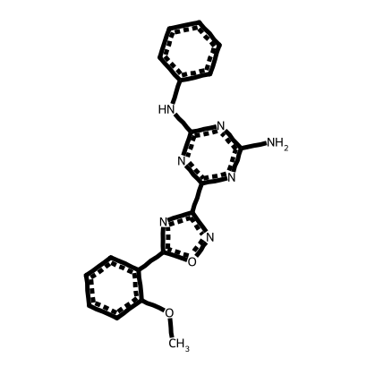 COc1ccccc1-c1nc(-c2nc(N)nc(Nc3ccccc3)n2)no1